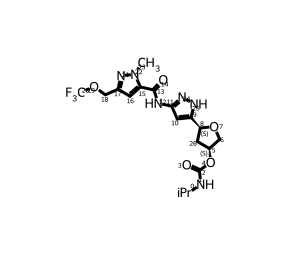 CC(C)NC(=O)O[C@@H]1CO[C@H](c2cc(NC(=O)c3cc(COC(F)(F)F)nn3C)n[nH]2)C1